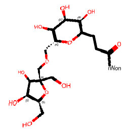 CCCCCCCCCC(=O)CCC1O[C@H](COC[C@@]2(CO)O[C@@H](CO)[C@@H](O)C2O)C(O)[C@@H](O)[C@H]1O